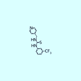 FC(F)(F)c1cccc(NC(=S)NCc2ccncc2)c1